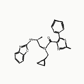 Cc1nc(C(=O)N(CC2CC2)C[C@H](C)Nc2nc3ccccc3o2)c(-c2ccccc2)s1